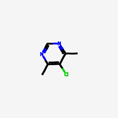 Cc1ncnc(C)c1Cl